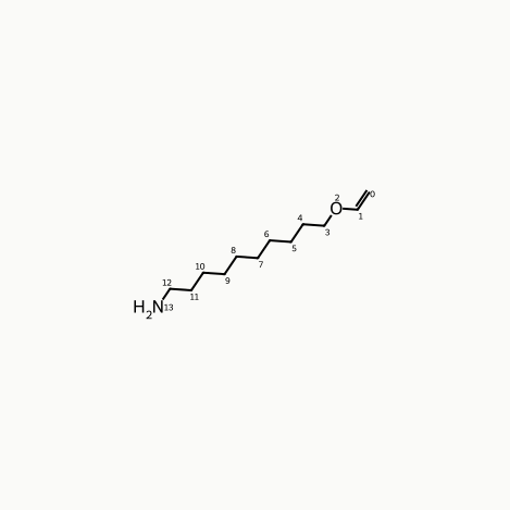 C=COCCCCCCCCCCN